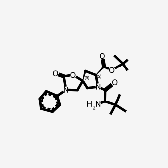 CC(C)(C)OC(=O)[C@@H]1C[C@]2(CN(c3ccccc3)C(=O)O2)CN1C(=O)C(N)C(C)(C)C